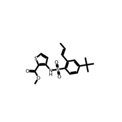 CC=Cc1cc(C(C)(C)C)ccc1S(=O)(=O)Nc1ccsc1C(=O)OC